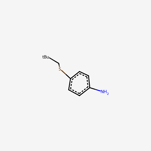 CC(C)(C)CSc1ccc(N)cc1